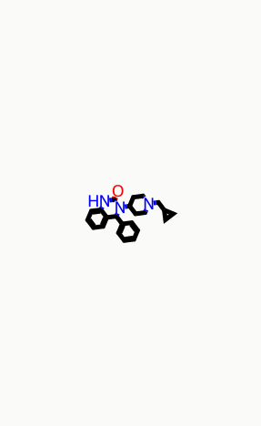 O=C1Nc2ccccc2C(c2ccccc2)N1C1CCN(CC2CC2)CC1